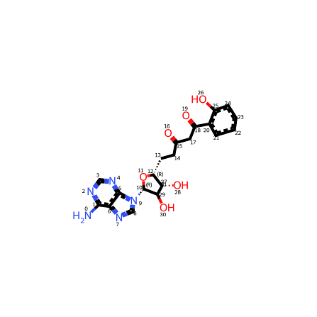 Nc1ncnc2c1ncn2[C@@H]1O[C@H](CCC(=O)CC(=O)c2ccccc2O)[C@H](O)C1O